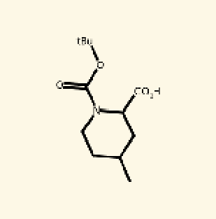 CC1CCN(C(=O)OC(C)(C)C)C(C(=O)O)C1